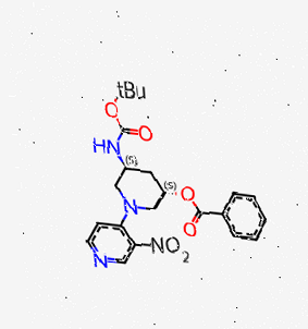 CC(C)(C)OC(=O)N[C@H]1C[C@H](OC(=O)c2ccccc2)CN(c2ccncc2[N+](=O)[O-])C1